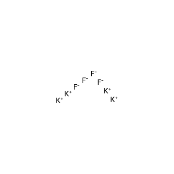 [F-].[F-].[F-].[F-].[K+].[K+].[K+].[K+]